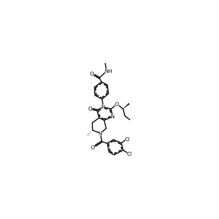 CC[C@H](C)Oc1nc2c(c(=O)n1-c1ccc(C(=O)NC)cc1)C[C@@H](C)N(C(=O)c1ccc(Cl)c(Cl)c1)C2